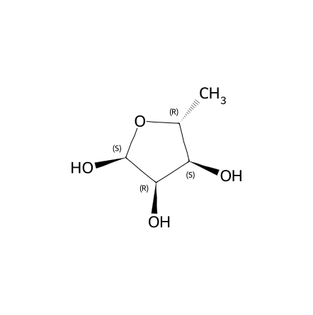 C[C@H]1O[C@H](O)[C@H](O)[C@@H]1O